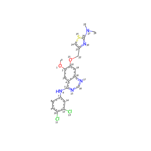 COc1cc2c(Nc3ccc(Cl)c(Cl)c3)ncnc2cc1OCc1csc(N(C)C)n1